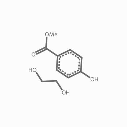 COC(=O)c1ccc(O)cc1.OCCO